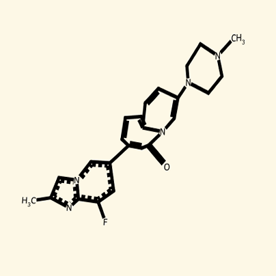 Cc1cn2cc(C3=C\C(=O)N4C=C(N5CCN(C)CC5)C=C\C4=C/C=C/3)cc(F)c2n1